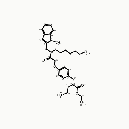 CCCCCCCN(Cc1cc2ccccc2n1C)C(=O)COc1ccc(C[C@H](OCC)C(=O)OCC)cc1